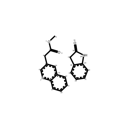 COC(=O)Cc1cnc2ccccc2c1.O=C1Cc2ccccc2N1